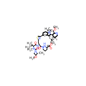 CCn1c(-c2cccnc2[C@H](C)OC)c2c3cc(ccc31)-c1csc(n1)C[C@H](NC(=O)C(C(C)C)N(C)C(=O)N1C[C@@H](OC)[C@H]1C)C(=O)N1CCC[C@H](N1)C(=O)OCC(C)(C)C2